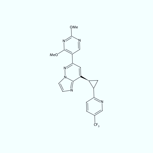 COc1ncc(-c2cc([C@H]3CC3c3ccc(C(F)(F)F)cn3)c3nccn3n2)c(OC)n1